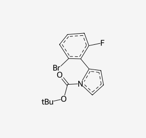 CC(C)(C)OC(=O)n1cccc1-c1c(F)cccc1Br